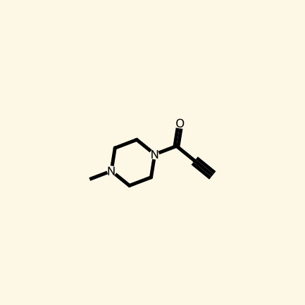 C#CC(=O)N1CCN(C)CC1